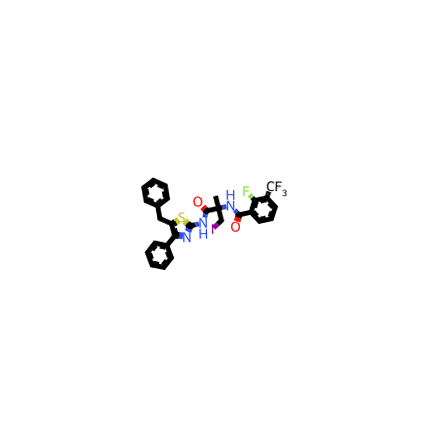 CC(CI)(NC(=O)c1cccc(C(F)(F)F)c1F)C(=O)Nc1nc(-c2ccccc2)c(Cc2ccccc2)s1